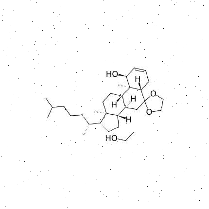 CC(C)CCC[C@@H](C)[C@H]1CC[C@H]2[C@@H]3CC4(OCCO4)[C@H]4CC=C[C@H](O)[C@]4(C)[C@H]3CC[C@]12C.CCO